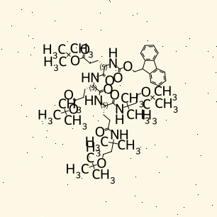 CC(C)(CCOC(C)(C)C)NC(=O)CC[C@H](NC(=O)[C@H](CCC(=O)OC(C)(C)C)NC(=O)[C@H](CCC(=O)OC(C)(C)C)NC(=O)OCC1c2ccccc2-c2ccccc21)C(=O)NC(C)(C)CCOC(C)(C)C